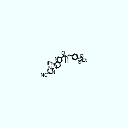 CCS(=O)(=O)c1ccc(CNC(=O)c2cnc3c(c2)CCN(c2ncc(C#N)cn2)[C@@H]3C(C)C)cc1